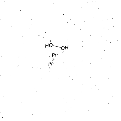 OO.[Pr].[Pr]